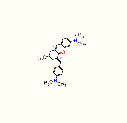 CC1C/C(=C/c2ccc(N(C)C)cc2)C(=O)/C(=C/c2ccc(N(C)C)cc2)C1